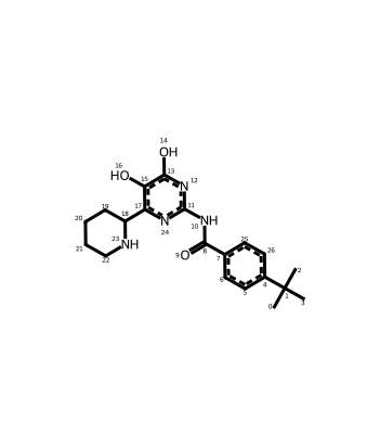 CC(C)(C)c1ccc(C(=O)Nc2nc(O)c(O)c(C3CCCCN3)n2)cc1